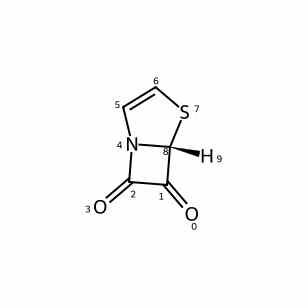 O=C1C(=O)N2C=CS[C@H]12